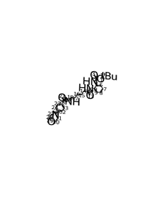 CC(C)(C)OC(=O)Nc1ccccc1NC(=O)CC=CCCNC(=O)c1ccc(N2CCOCC2)cc1